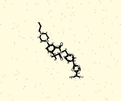 CCCN1CCN(c2ccc3c(c2)C(=O)N(Cc2ccc(-c4nnc(C(F)F)o4)cn2)C(=O)C3(C)C)CC1